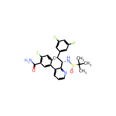 C[C@H](c1cc(F)cc(F)c1)[C@H](N[S@+]([O-])C(C)(C)C)c1ncccc1-c1ccc(F)c(C(N)=O)c1